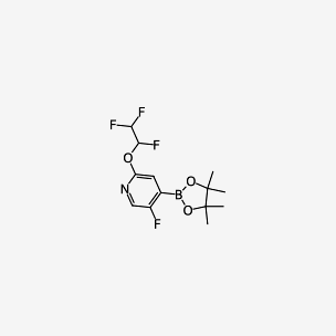 CC1(C)OB(c2cc(OC(F)C(F)F)ncc2F)OC1(C)C